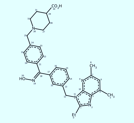 CCc1nc2c(C)cc(C)nc2n1Cc1cccc(C(=NO)c2ccc(CN3CCC(C(=O)O)CC3)cc2)c1